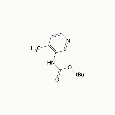 Cc1ccncc1NC(=O)OC(C)(C)C